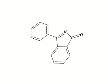 O=C1N=C(c2ccccc2)c2ccccc21